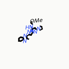 COCCNc1cc(N2CCCC2)nc2cc(-c3nc4ccccc4nc3C)nn12